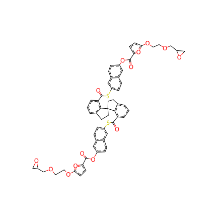 O=C(Oc1ccc2cc(SC(=O)c3cccc4c3C3(CC4)CCc4cccc(C(=O)Sc5ccc6cc(OC(=O)c7ccc(OCCOCC8CO8)o7)ccc6c5)c43)ccc2c1)c1ccc(OCCOCC2CO2)o1